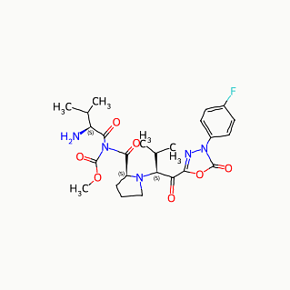 COC(=O)N(C(=O)[C@@H](N)C(C)C)C(=O)[C@@H]1CCCN1[C@H](C(=O)c1nn(-c2ccc(F)cc2)c(=O)o1)C(C)C